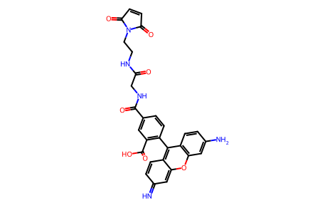 N=c1ccc2c(-c3ccc(C(=O)NCC(=O)NCCN4C(=O)C=CC4=O)cc3C(=O)O)c3ccc(N)cc3oc-2c1